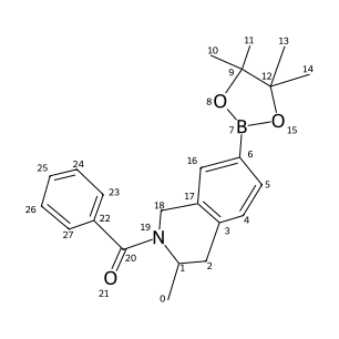 CC1Cc2ccc(B3OC(C)(C)C(C)(C)O3)cc2CN1C(=O)c1ccccc1